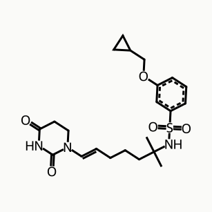 CC(C)(CCC/C=C/N1CCC(=O)NC1=O)NS(=O)(=O)c1cccc(OCC2CC2)c1